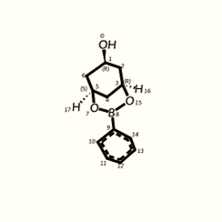 O[C@H]1C[C@@H]2C[C@H](C1)OB(c1ccccc1)O2